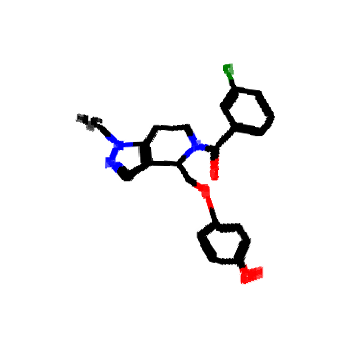 Cn1ncc2c1CCN(C(=O)c1cccc(Cl)c1)C2COc1ccc(O)cc1